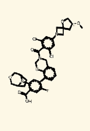 CO[C@H]1COC2(C1)CN(c1cc(Cl)c(C(=O)N3COc4c(cccc4-c4cc(N5C6CCC5COC6)c(C(=O)O)cc4F)C3)c(Cl)c1)C2